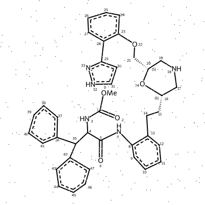 COC(=O)NC(C(=O)Nc1ccccc1CC[C@H]1CNC[C@@H](COc2ccccc2-c2cc[nH]n2)O1)C(c1ccccc1)c1ccccc1